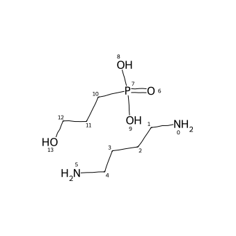 NCCCCN.O=P(O)(O)CCCO